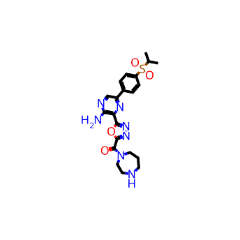 CC(C)S(=O)(=O)c1ccc(-c2cnc(N)c(-c3nnc(C(=O)N4CCCNCC4)o3)n2)cc1